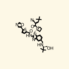 CC(C)(C)/C=C(\C#N)C(=O)N1CCC[C@@H]1Cn1c(NC(=O)c2ccc(-c3cnco3)s2)nc2cc(CN[C@@H](CO)C(C)(C)C)ccc21